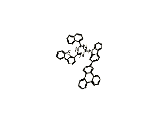 c1ccc2c(-c3nc(-c4cccc5c4sc4ccccc45)nc(-n4c5ccccc5c5ccc(-c6ccc7c8ccccc8c8ccccc8c7c6)cc54)n3)cccc2c1